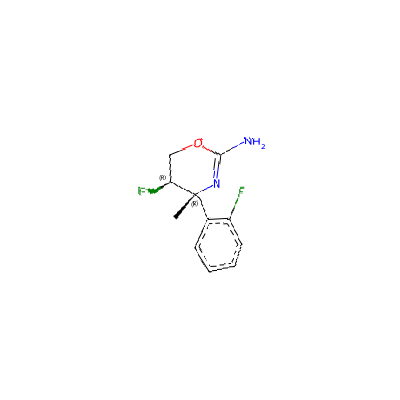 C[C@]1(c2ccccc2F)N=C(N)OC[C@@H]1F